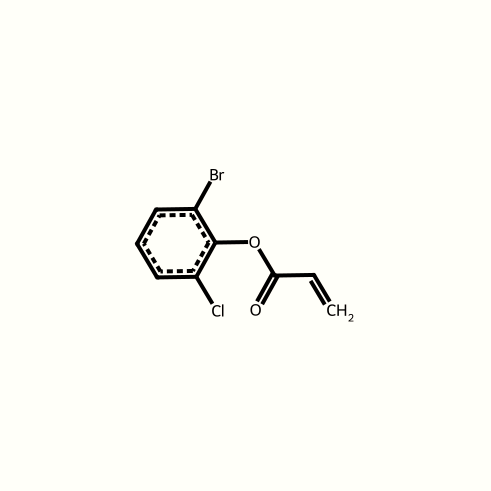 C=CC(=O)Oc1c(Cl)cccc1Br